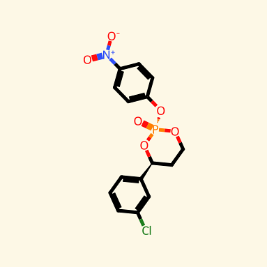 O=[N+]([O-])c1ccc(O[P@]2(=O)OCC[C@@H](c3cccc(Cl)c3)O2)cc1